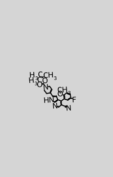 COc1ccc(F)cc1-c1c(C#N)cnc2[nH]c(C3=CCN(C(=O)OC(C)(C)C)CC3)cc12